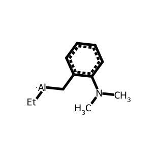 C[CH2][Al][CH2]c1ccccc1N(C)C